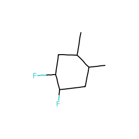 CC1CC(F)C(F)CC1C